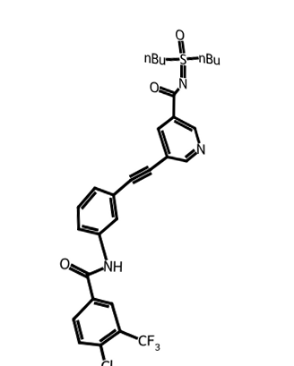 CCCCS(=O)(CCCC)=NC(=O)c1cncc(C#Cc2cccc(NC(=O)c3ccc(Cl)c(C(F)(F)F)c3)c2)c1